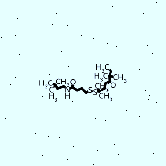 CCC(C)(C)C(=O)CCC(C)(C)SSCCCC(=O)NCCC(C)(C)C